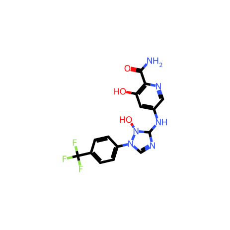 NC(=O)c1ncc(NC2N=CN(c3ccc(C(F)(F)F)cc3)N2O)cc1O